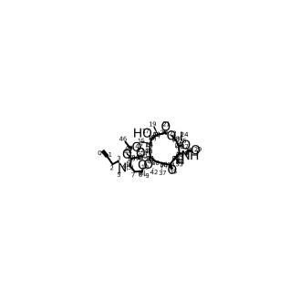 C#CCCN(C)[C@H]1C[C@@H](C)O[C@@H](O[C@@H]2[C@@H](C)[C@H](O)[C@@H](C)C(=O)O[C@H](I)[C@@]3(C)OC(=O)N[C@@H]3[C@@H](C)C(=O)[C@H](C)C[C@@]2(C)OC)[C@@H]1OC(C)=O